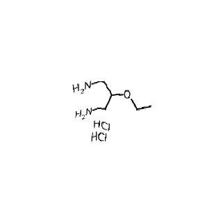 CCOC(CN)CN.Cl.Cl